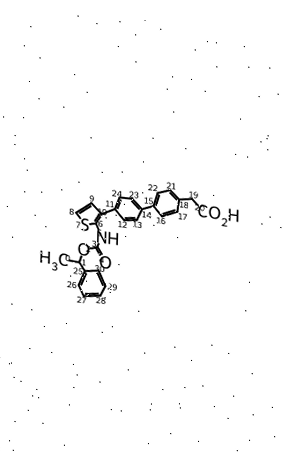 CC(OC(=O)Nc1sccc1-c1ccc(-c2ccc(CC(=O)O)cc2)cc1)c1ccccc1